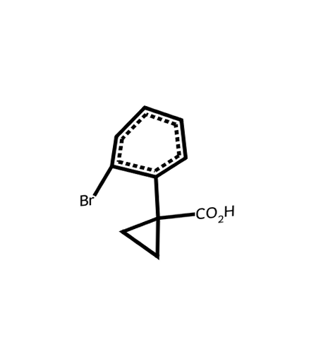 O=C(O)C1(c2ccccc2Br)CC1